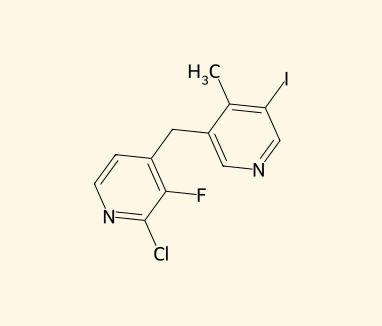 Cc1c(I)cncc1Cc1ccnc(Cl)c1F